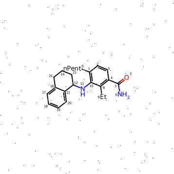 CCCCCc1ccc(C(N)=O)c(CC)c1NC1CCCc2ccccc21